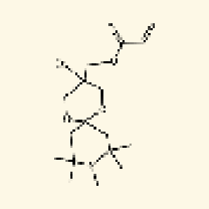 C=CC(=O)OCC1(CC)COC2(CC(C)(C)N(C)C(C)(C)C2)OC1